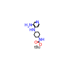 CC(C)(C)OC(=O)N[C@H]1CC[C@H](Nc2ccncc2N)CC1